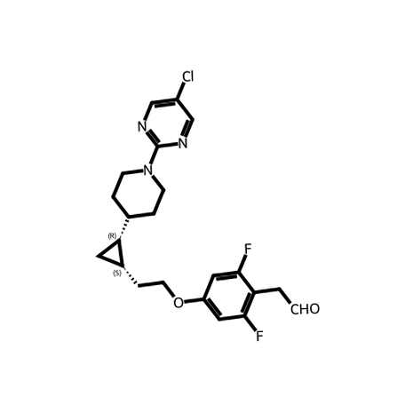 O=CCc1c(F)cc(OCC[C@@H]2C[C@@H]2C2CCN(c3ncc(Cl)cn3)CC2)cc1F